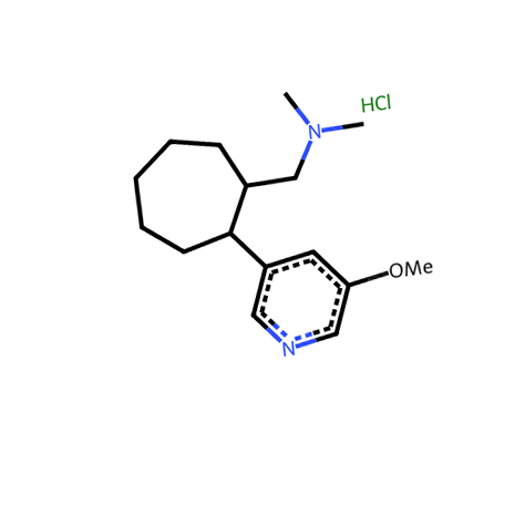 COc1cncc(C2CCCCCC2CN(C)C)c1.Cl